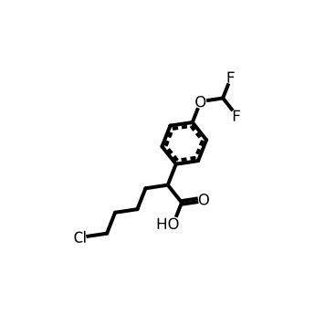 O=C(O)C(CCCCCl)c1ccc(OC(F)F)cc1